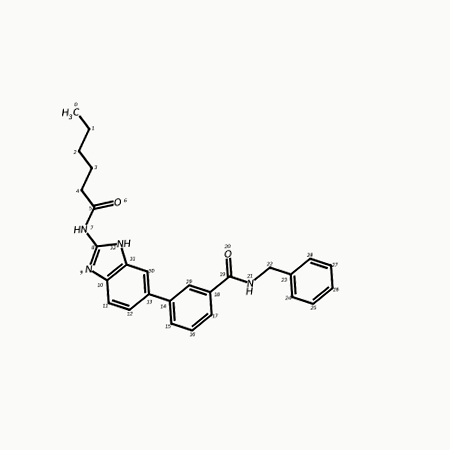 CCCCCC(=O)Nc1nc2ccc(-c3cccc(C(=O)NCc4ccccc4)c3)cc2[nH]1